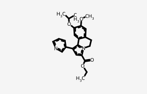 CCOC(=O)c1cc(-c2cccnc2)c2n1CCc1cc(OC)c(OC(C)C)cc1-2